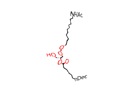 CCCCCCCCCCCCCCCC(=O)O[C@H](CO)COCOCCCCCCCCCCCNC(C)=O